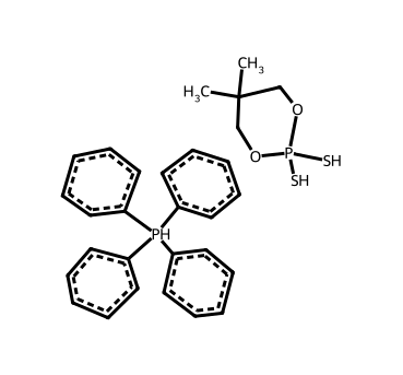 CC1(C)CO[P](S)(S)OC1.c1ccc([PH](c2ccccc2)(c2ccccc2)c2ccccc2)cc1